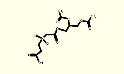 CC(=O)OCC(COC(=O)C[N+](Cl)(Cl)CCC(=O)O)OC(C)=O